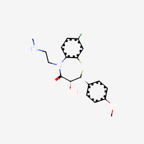 CNCCN1C(=O)[C@H](O)[C@H](c2ccc(OC)cc2)Sc2cc(Cl)ccc21